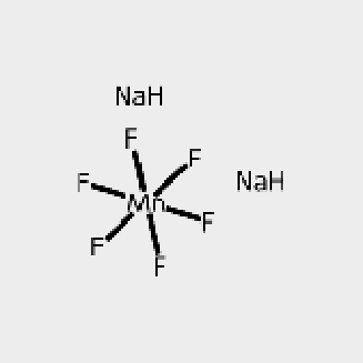 [F][Mn]([F])([F])([F])([F])[F].[NaH].[NaH]